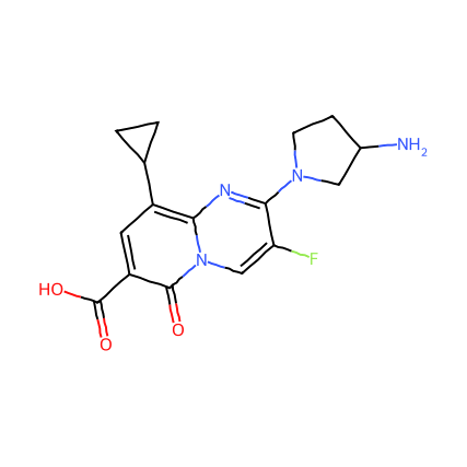 NC1CCN(c2nc3c(C4CC4)cc(C(=O)O)c(=O)n3cc2F)C1